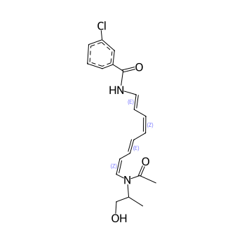 CC(=O)N(\C=C/C=C/C=C\C=C\NC(=O)c1cccc(Cl)c1)C(C)CO